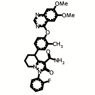 COc1cc2ncnc(Oc3ccc(C4CCCn5c4c(C(N)=O)c(=O)n5-c4ccccc4F)cc3C)c2cc1OC